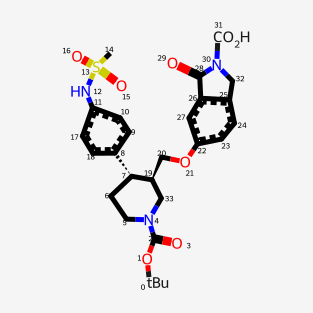 CC(C)(C)OC(=O)N1CC[C@H](c2ccc(NS(C)(=O)=O)cc2)[C@@H](COc2ccc3c(c2)C(=O)N(C(=O)O)C3)C1